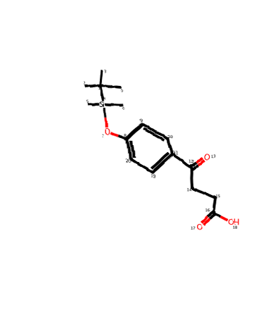 CC(C)(C)[Si](C)(C)Oc1ccc(C(=O)CCC(=O)O)cc1